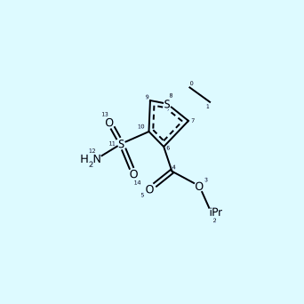 CC.CC(C)OC(=O)c1cscc1S(N)(=O)=O